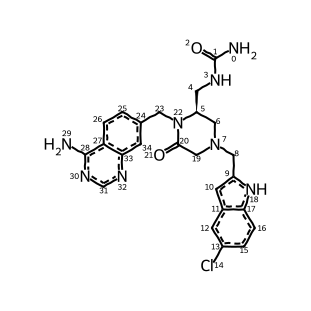 NC(=O)NC[C@H]1CN(Cc2cc3cc(Cl)ccc3[nH]2)CC(=O)N1Cc1ccc2c(N)ncnc2c1